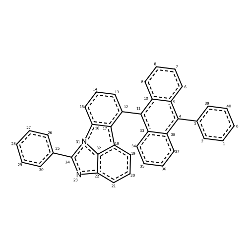 c1ccc(-c2c3ccccc3c(-c3cccc4c3c3cccc5nc(-c6ccccc6)n4c53)c3ccccc23)cc1